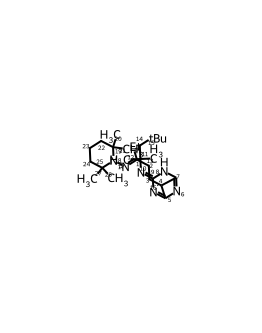 [CH2]CC(CC[C]1c2nc1[nH]c(=NC(C)(C)CC(C)(C)C)n2)=NN1C(C)(C)CCCC1(C)C